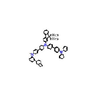 CCCCCCC1(CCCCCC)c2ccccc2-c2ccc(N(c3ccc(-c4ccc(N(C)c5cccc(-c6ccc7c(c6)CC7)c5)cc4)cc3)c3ccc(-c4ccc(N(c5ccccc5)c5ccccc5)cc4)cc3)cc21